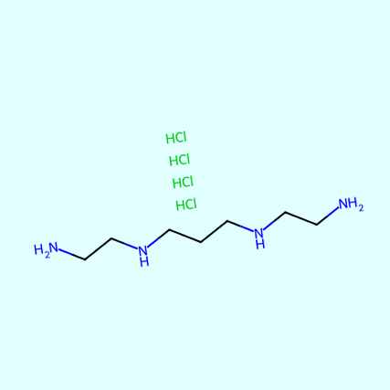 Cl.Cl.Cl.Cl.NCCNCCCNCCN